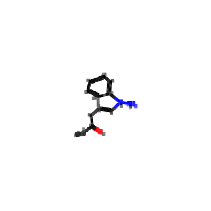 COC(=O)Cc1cn(N)c2ccccc12